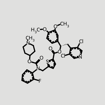 COc1ccc([C@H](Cc2c(Cl)cncc2Cl)OC(=O)c2ccc(CN(C(=O)OC3CCN(C)CC3)c3ccccc3F)s2)cc1OC